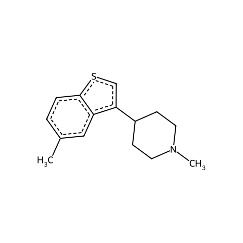 Cc1ccc2scc(C3CCN(C)CC3)c2c1